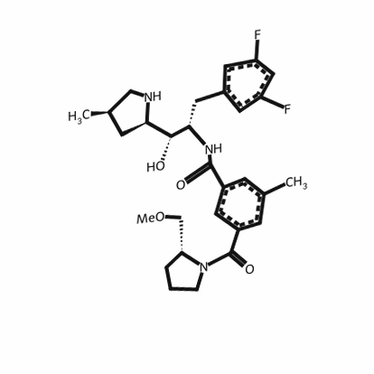 COC[C@H]1CCCN1C(=O)c1cc(C)cc(C(=O)N[C@@H](Cc2cc(F)cc(F)c2)[C@H](O)[C@H]2C[C@@H](C)CN2)c1